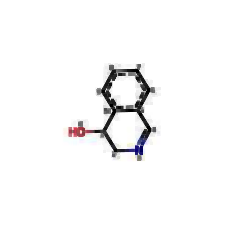 OC1CN=Cc2ccccc21